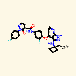 COCC1(Nc2n[nH]c3nccc(Oc4ccc(NC(=O)c5ccnn(-c6ccc(F)cc6)c5=O)cc4F)c23)CCC1